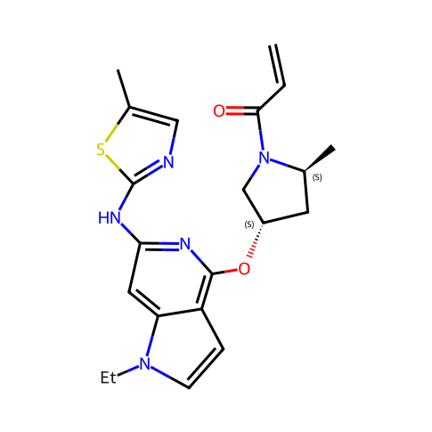 C=CC(=O)N1C[C@@H](Oc2nc(Nc3ncc(C)s3)cc3c2ccn3CC)C[C@@H]1C